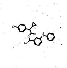 N#CC(OC(=O)C(c1ccc(Cl)cc1)C1CC1)c1cccc(Nc2ccccc2)c1